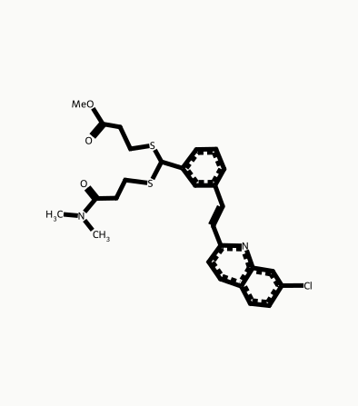 COC(=O)CCSC(SCCC(=O)N(C)C)c1cccc(C=Cc2ccc3ccc(Cl)cc3n2)c1